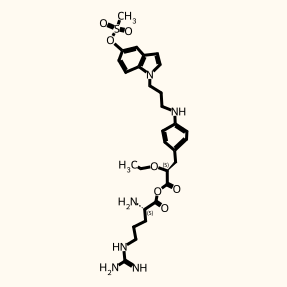 CCO[C@@H](Cc1ccc(NCCCn2ccc3cc(OS(C)(=O)=O)ccc32)cc1)C(=O)OC(=O)[C@@H](N)CCCNC(=N)N